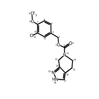 O=C(OCc1ccc(OC(F)(F)F)c(Cl)c1)N1CCc2c[nH]nc2C1